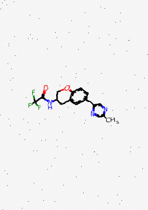 Cc1cnc(-c2ccc3c(c2)CC(NC(=O)C(F)(F)F)CO3)cn1